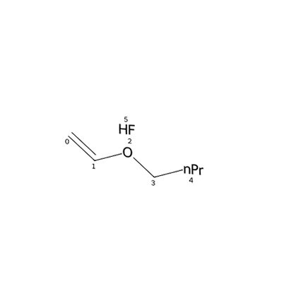 C=COCCCC.F